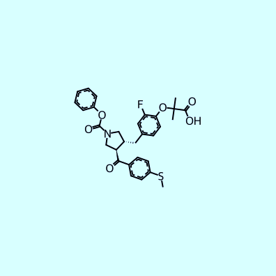 CSc1ccc(C(=O)[C@H]2CN(C(=O)Oc3ccccc3)C[C@@H]2Cc2ccc(OC(C)(C)C(=O)O)c(F)c2)cc1